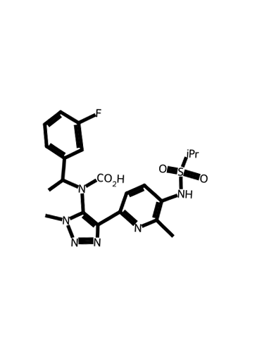 Cc1nc(-c2nnn(C)c2N(C(=O)O)C(C)c2cccc(F)c2)ccc1NS(=O)(=O)C(C)C